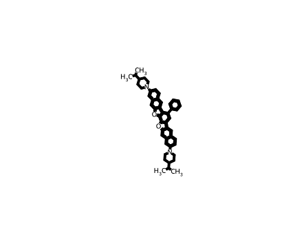 CC(C)C1CCN(c2ccc3cc4c(cc3c2)oc2c4cc(-c3ccccc3)c3c4cc5ccc(N6CCC(C(C)C)CC6)cc5cc4oc23)CC1